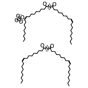 CCCCCCCC/C=C\CCCCCCCC(=O)[N+](C)(C)C(=O)CCCCCCC/C=C\CCCCCCCC.CCCCCCCC/C=C\CCCCCCCC(=O)[N+](C)(C)C(=O)CCCCCCC/C=C\CCCCCCCC.O=S(=O)([O-])[O-]